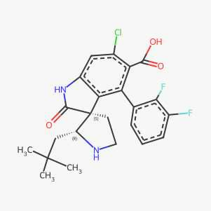 CC(C)(C)C[C@H]1NCC[C@@]12C(=O)Nc1cc(Cl)c(C(=O)O)c(-c3cccc(F)c3F)c12